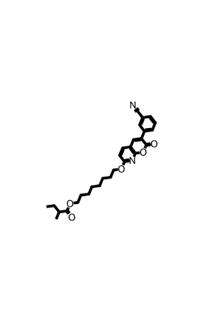 CCC(C)C(=O)OCCCCCCCCOc1ccc2cc(-c3cccc(C#N)c3)c(=O)oc2n1